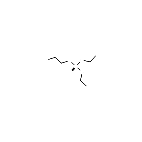 CCOP(=O)(OCC)OCCF